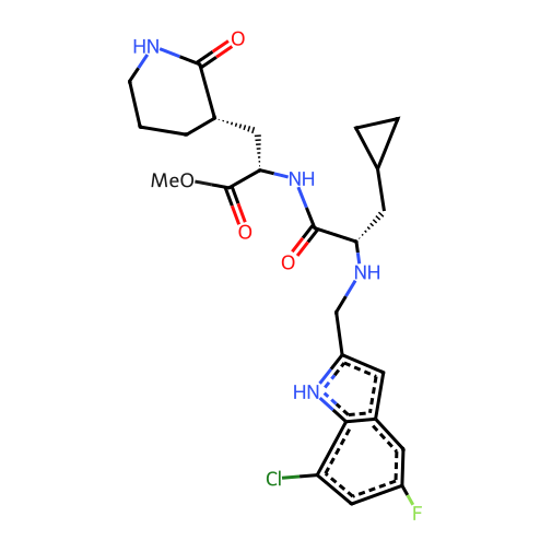 COC(=O)[C@H](C[C@@H]1CCCNC1=O)NC(=O)[C@H](CC1CC1)NCc1cc2cc(F)cc(Cl)c2[nH]1